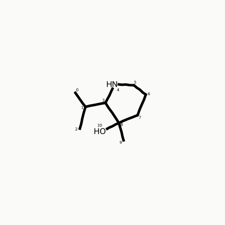 CC(C)C1NCCCC1(C)O